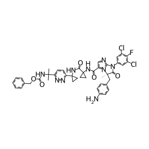 CC(C)(NC(=O)OCc1ccccc1)c1ccc(C2(NC(=O)C3(NC(=O)c4cnc5n4[C@](C)(Cc4ccc(N)cc4)C(=O)N5c4cc(Cl)c(F)c(Cl)c4)CC3)CC2)nn1